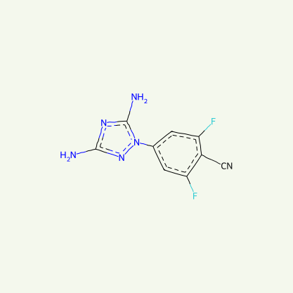 N#Cc1c(F)cc(-n2nc(N)nc2N)cc1F